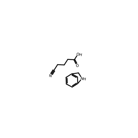 N#CCCCC(=O)O.c1cc2cc(c1)NC2